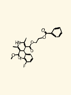 COC(=O)C1=C(C)NC(C)=C(C(=O)OCCOC(=O)c2ccccc2)C1c1cccc(F)c1F